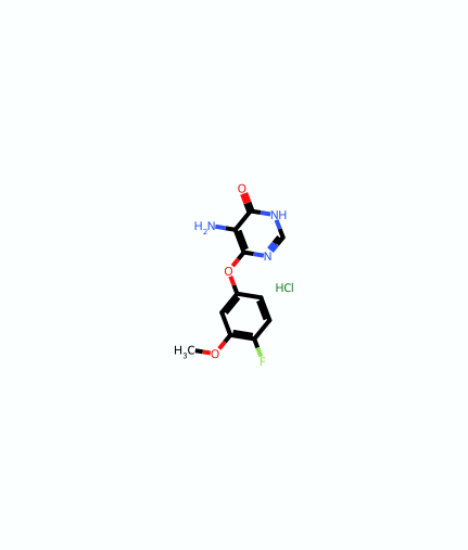 COc1cc(Oc2nc[nH]c(=O)c2N)ccc1F.Cl